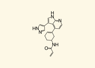 C=CC(=O)NC1CCC=C(c2ccnc3[nH]cc(-c4cn[nH]c4)c23)C1